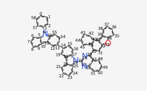 c1ccc(-n2c3ccccc3c3cc(-c4ccc5c(c4)c4ccccc4n5-c4nc(-c5cc6oc7ccccc7c6c6ccccc56)c5ccccc5n4)ccc32)cc1